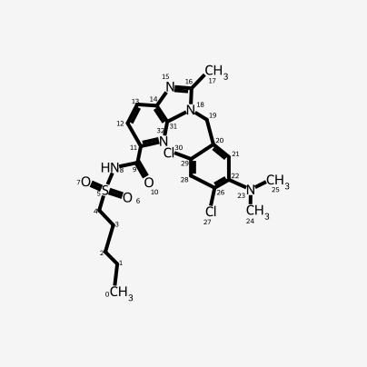 CCCCCS(=O)(=O)NC(=O)c1ccc2nc(C)n(Cc3cc(N(C)C)c(Cl)cc3Cl)c2n1